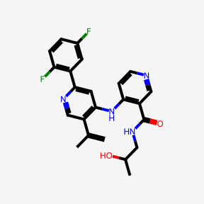 C=C(C)c1cnc(-c2cc(F)ccc2F)cc1Nc1ccncc1C(=O)NCC(C)O